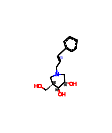 OC[C@@H]1CN(C/C=C/c2ccccc2)C[C@H](O)[C@H]1O